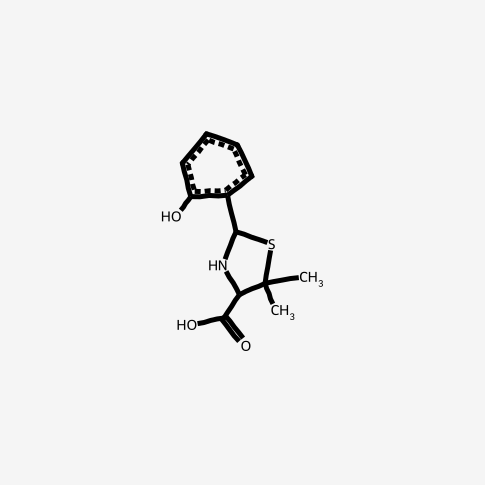 CC1(C)SC(c2ccccc2O)NC1C(=O)O